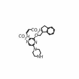 O=C(O)/C=C\C(=O)O.c1ccc2c(c1)CCC2COc1cncc(N2CCNCC2)n1